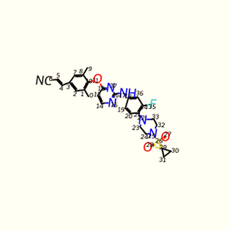 Cc1cc(/C=C/C#N)cc(C)c1Oc1ccnc(Nc2ccc(N3CCN(S(=O)(=O)C4CC4)CC3)c(F)c2)n1